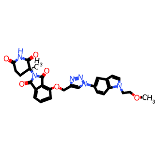 COCCn1ccc2cc(-n3cc(COc4cccc5c4C(=O)N([C@@]4(C)CCC(=O)NC4=O)C5=O)nn3)ccc21